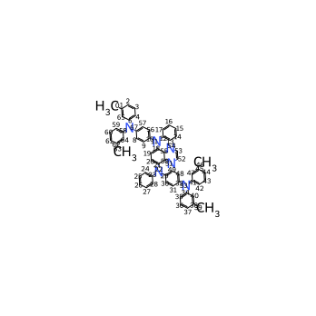 Cc1cccc(N(c2ccc(N(c3ccccc3)c3ccc(N(c4ccccc4)c4ccc(N(c5cccc(C)c5)c5cccc(C)c5)cc4)c4nccnc34)cc2)c2cccc(C)c2)c1